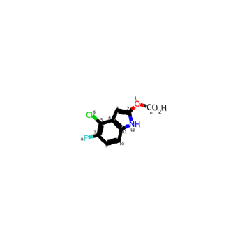 O=C(O)Oc1cc2c(Cl)c(F)ccc2[nH]1